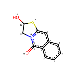 O=c1c2ccccc2cc2n1CC(O)S2